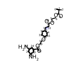 C=C(C)C(=O)OCCOC(=O)/C=C/c1ccc(OCCOC(=O)c2cc(N)cc(N)c2)cc1